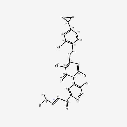 Cc1cnc(C(=O)/C=C/N(C)C)cc1-n1c(C)cc(OCc2ncc(C3CC3)cc2F)c(Cl)c1=O